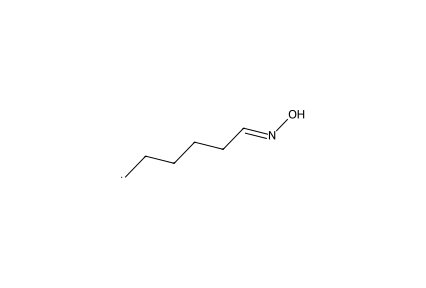 [CH2]CCCCC=NO